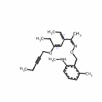 C/C=C(\C=C(/CC)OCC#CCC)C(C)=NOCc1c(C)cccc1NC